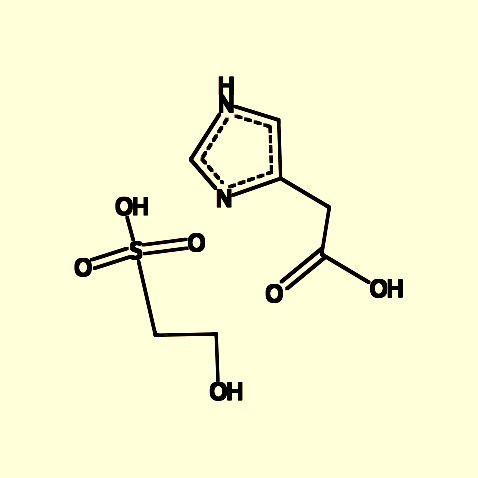 O=C(O)Cc1c[nH]cn1.O=S(=O)(O)CCO